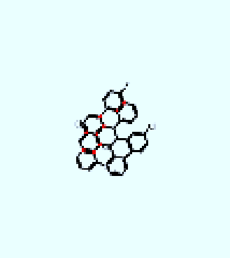 Fc1ccc(CC(c2c(Cl)cccc2Cl)C(c2ccccc2)C(c2cccc(Cl)c2)C(c2ccccc2F)C(c2cc[c]cc2)c2ccccc2C(F)(F)F)cc1